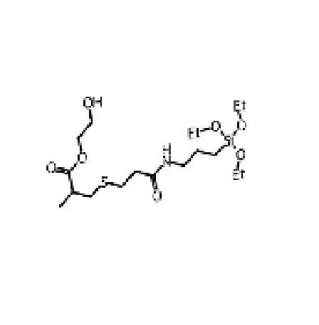 CCO[Si](CCCNC(=O)CCSCC(C)C(=O)OCCO)(OCC)OCC